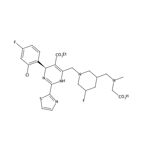 CCOC(=O)C1=C(CN2CC(F)CC(CN(C)CC(=O)O)C2)NC(c2nccs2)=N[C@H]1c1ccc(F)cc1Cl